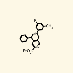 CCOC(=O)c1cc2c(cn1)CN(c1cc(C)cc(F)c1)CC2c1ccccc1